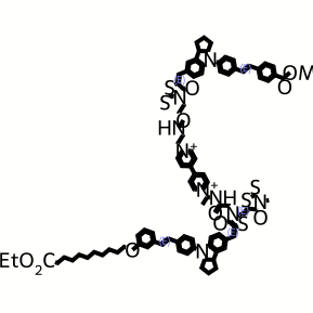 CCOC(=O)CCCCCCCCCCOc1cccc(/C=C/c2ccc(N3c4ccc(/C=c5/s/c(=C6/SC(=S)N(C)C6=O)n(CC(=O)NC(C)[n+]6ccc(-c7cc[n+](CCNOCCN8C(=O)/C(=C\c9ccc%10c(c9)C9CCCC9N%10c9ccc(/C=C/c%10ccc(C(=O)OC)cc%10)cc9)SC8=S)cc7)cc6)c5=O)cc4C4CCCC43)cc2)c1